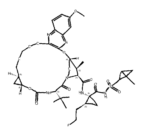 COc1ccc2nc3c(nc2c1)O[C@H]1CN(C(=O)[C@H](C(C)(C)C)NC(=O)O[C@@H]2C[C@H]2CCCCC3)[C@H](C(=O)N[C@]2(C(=O)NS(=O)(=O)C3C4CC43C)C[C@H]2CCF)[C@@H]1C